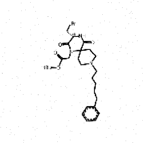 CC(C)C[C@@H]1NC(=O)C2(CCN(CCCCCc3ccccc3)CC2)N(CC(=O)OC(C)(C)C)C1=O